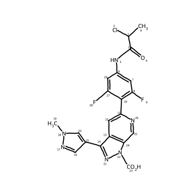 CC(Cl)C(=O)Nc1cc(F)c(-c2cc3c(-c4cnn(C)c4)nn(C(=O)O)c3cn2)c(F)c1